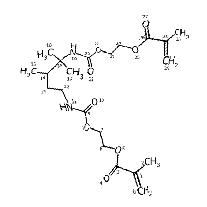 C=C(C)C(=O)OCCOC(=O)NCCC(C)C(C)(C)NC(=O)OCCOC(=O)C(=C)C